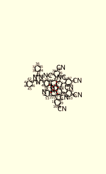 N#Cc1ccc(-c2ccc3c(c2)c2cc(-c4ccc(C#N)cc4C#N)ccc2n3-c2ccc(-c3nc(-c4ccccc4)nc(-c4ccccc4)n3)cc2-c2ncccc2-n2c3ccc(-c4ccc(C#N)cc4C#N)cc3c3cc(-c4ccc(C#N)cc4C#N)ccc32)c(C#N)c1